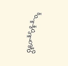 O=C(Nc1ccccc1-c1ccccc1)OC1CCN(CCNCC(=O)c2cccc(C(=O)NCCNCCc3ccc(O)cc3)c2)CC1